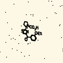 CCOc1cccc(C(=O)c2csc([C@@H]3CCCN3C(=O)O)n2)c1